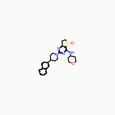 [O-][S+]1CCc2nc(N3CCC(c4ccc5ccccc5c4)CC3)nc(NC3CCOCC3)c21